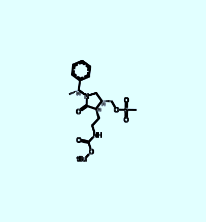 C[C@H](c1ccccc1)N1C[C@H](COS(C)(=O)=O)[C@@H](CCNC(=O)OC(C)(C)C)C1=O